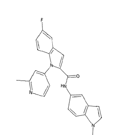 Cc1cc(-n2c(C(=O)Nc3ccc4c(ccn4C)c3)cc3cc(F)ccc32)ccn1